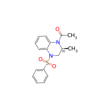 CC(=O)N1c2ccccc2N(S(=O)(=O)c2ccccc2)C[C@@H]1C